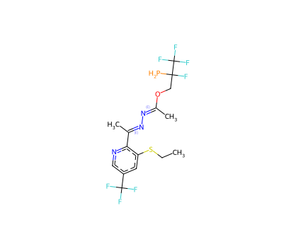 CCSc1cc(C(F)(F)F)cnc1/C(C)=N/N=C(\C)OCC(F)(P)C(F)(F)F